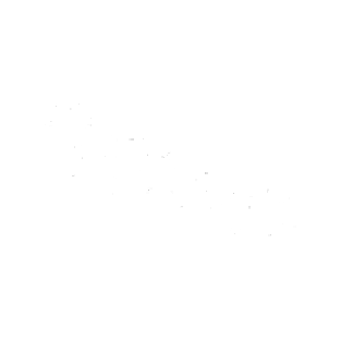 O=c1oc2ccccc2c2cccc(-c3ccc4oc(-c5ccc6c(c5)C=COC6)cc4c3)c12